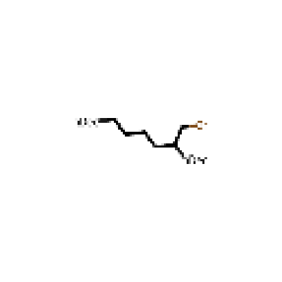 CCCCCCCCCCCCCCC(CBr)CCCCCCCCCC